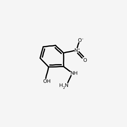 NNc1c(O)cccc1[N+](=O)[O-]